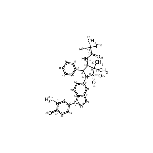 Cn1cc(-n2ncc3cc(N4C(c5ccccc5)[C@@H](NC(=O)C(C)(F)F)C(C)(C)S4(=O)=O)ccc32)ccc1=O